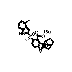 Cn1c2c(c3c(C(=O)OC(C)(C)C)c(S(=O)(=O)c4cc5c(F)cccc5[nH]4)ccc31)C1CCC(C2)N1